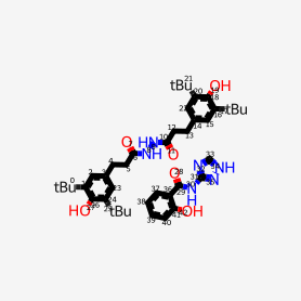 CC(C)(C)c1cc(CCC(=O)NNC(=O)CCc2cc(C(C)(C)C)c(O)c(C(C)(C)C)c2)cc(C(C)(C)C)c1O.O=C(Nc1nc[nH]n1)c1ccccc1O